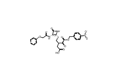 O=C(O)CC(CS[C@H]1NC(=O)[C@H]1NC(=O)COc1ccccc1)C(=O)C(=O)OCc1ccc([N+](=O)[O-])cc1